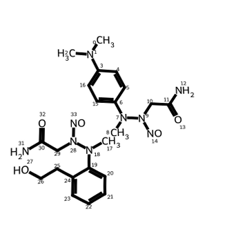 CN(C)c1ccc(N(C)N(CC(N)=O)N=O)cc1.CN(c1ccccc1CCO)N(CC(N)=O)N=O